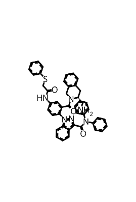 NC[C@@H]1Cc2ccccc2CN1C(=O)c1cc(NC(=O)CSc2ccccc2)ccc1-n1nc(C(=O)N(c2ccccc2)c2ccccc2)c2ccccc21